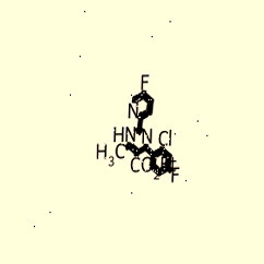 CCOC(=O)C1=C(C)NC(c2ccc(F)cn2)=NC1c1ccc(F)cc1Cl